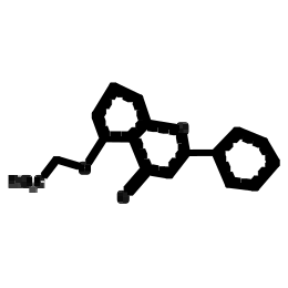 CCOC(=O)COc1cccc2oc(-c3ccccc3)cc(=O)c12